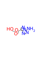 Nc1ncnc2c(C3COC(CO)O3)cnn12